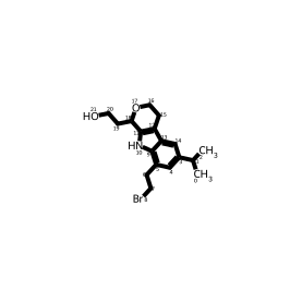 CC(C)c1cc(CCBr)c2[nH]c3c(c2c1)CCOC3CCO